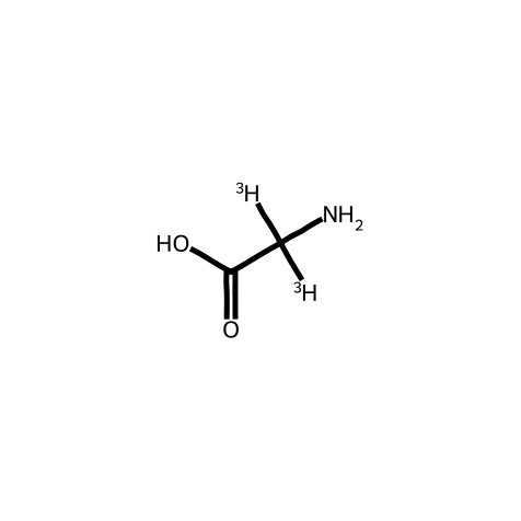 [3H]C([3H])(N)C(=O)O